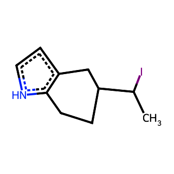 CC(I)C1CCc2[nH]ccc2C1